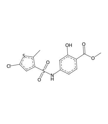 COC(=O)c1ccc(NS(=O)(=O)c2cc(Cl)sc2C)cc1O